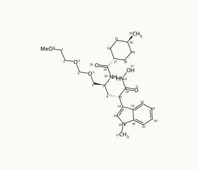 COCCOCOC[C@H](C[C@H](C(=O)NO)c1cn(C)c2ccccc12)NC(=O)[C@H]1CC[C@H](C)CC1